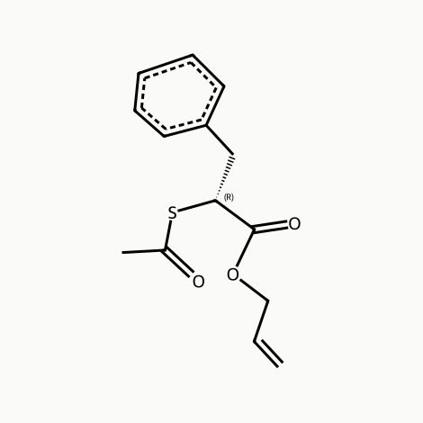 C=CCOC(=O)[C@@H](Cc1ccccc1)SC(C)=O